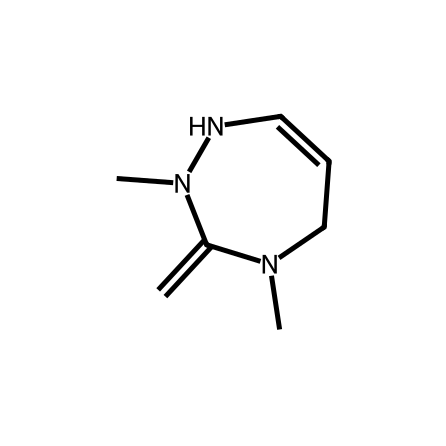 C=C1N(C)CC=CNN1C